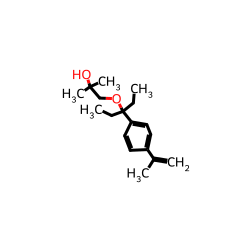 C=C(C)c1ccc(C(CC)(CC)OCC(C)(C)O)cc1